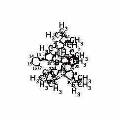 Cc1cc2c(cc1N1c3ccc(-c4ccccc4)cc3B3c4cc5c(cc4N(c4ccc(C(C)(C)C)cc4-c4ccccc4)c4cc(C(C)(C)C)cc1c43)C(C)(C)CC5(C)C)C(C)(C)CC2(C)C